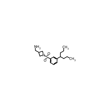 CCCC(CCC)c1cccc(S(=O)(=O)N2CC(CN)C2)c1